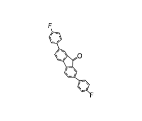 O=C1c2cc(-c3ccc(F)cc3)ccc2-c2ccc(-c3ccc(F)cc3)cc21